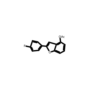 CC(=O)Oc1cccc2oc(-c3ccc(F)cc3)cc12